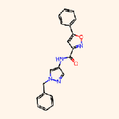 O=C(Nc1cnn(Cc2ccccc2)c1)c1cc(-c2ccccc2)on1